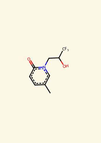 Cc1ccc(=O)n(CC(O)C(F)(F)F)c1